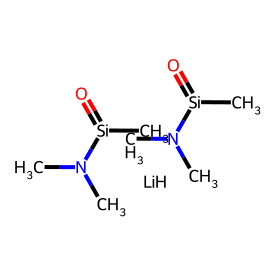 CN(C)[Si](C)=O.CN(C)[Si](C)=O.[LiH]